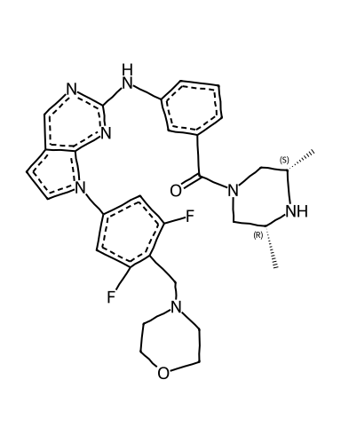 C[C@@H]1CN(C(=O)c2cccc(Nc3ncc4ccn(-c5cc(F)c(CN6CCOCC6)c(F)c5)c4n3)c2)C[C@H](C)N1